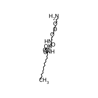 CCCCCCCCCCCCCCCC(=O)N[C@@H](CCC(=O)NCCCOCCOCCOCCCN)C(=O)O